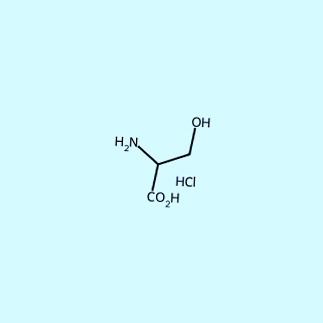 Cl.NC(CO)C(=O)O